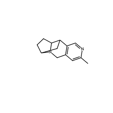 Cc1cc2c(cn1)C1CC3CCC1N3C2